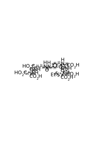 CCSSC[C@H](NC(=O)[C@H](CC(=O)O)NC(=O)[C@H](CC(=O)O)NC(=O)Cc1ccc(CNC(=O)NCCCC[C@H](NC(=O)N[C@@H](CCC(=O)O)C(=O)O)C(=O)O)cc1)C(=O)O